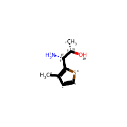 Cc1ccsc1[C@H](N)[C@H](C)O